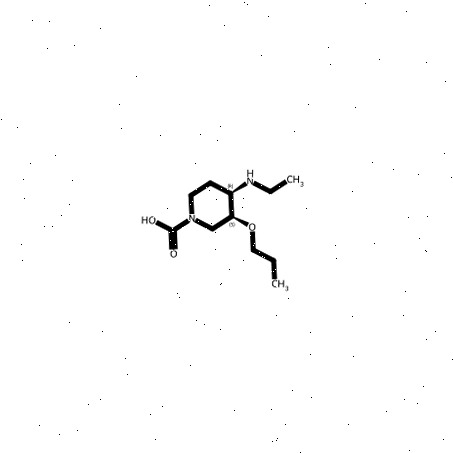 CCCO[C@H]1CN(C(=O)O)CC[C@H]1NCC